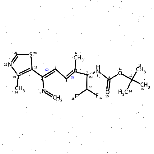 C=N/C(=C\C=C(/C)[C@H](NC(=O)OC(C)(C)C)C(F)F)c1scnc1C